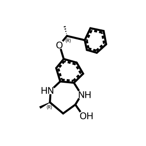 C[C@@H]1CC(O)Nc2ccc(O[C@H](C)c3ccccc3)cc2N1